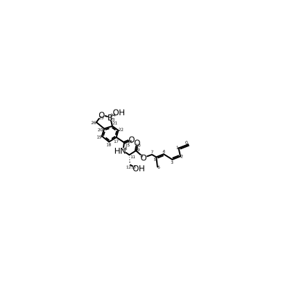 C=C/C=C\C=C(/C)COC(=O)[C@H](CO)NC(=O)c1ccc2c(c1)B(O)OC2